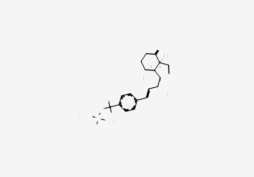 C[C@H](C=Cc1ccc(C(C)(C)O[Si](C)(C)C)cc1)[C@H]1CC[C@H]2C(=O)CCC[C@]12C